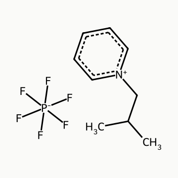 CC(C)C[n+]1ccccc1.F[P-](F)(F)(F)(F)F